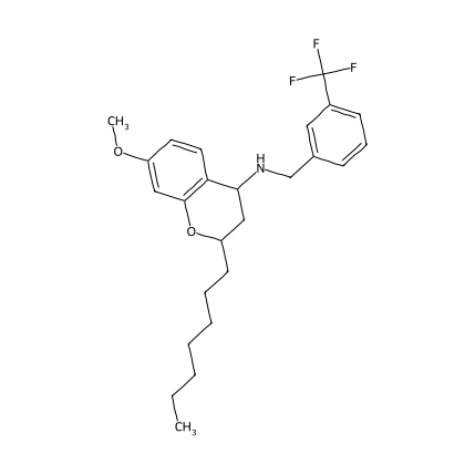 CCCCCCCC1CC(NCc2cccc(C(F)(F)F)c2)c2ccc(OC)cc2O1